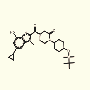 Cn1c(C(=O)N2CCN(C3CCC(O[Si](C)(C)C(C)(C)C)CC3)C(=O)C2)nc2c(O)cc(C3CC3)cc21